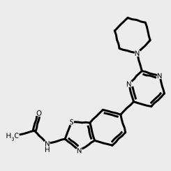 CC(=O)Nc1nc2ccc(-c3ccnc(N4CCCCC4)n3)cc2s1